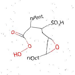 CCCCCCCCC1OC1C(C(CCCCC)C(=O)OO)S(=O)(=O)O